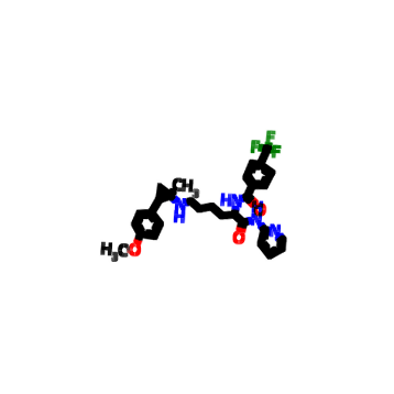 COc1ccc(C2CC2(C)NCCCCC(NC(=O)c2ccc(C(F)(F)F)cc2)C(=O)Nc2ccccn2)cc1